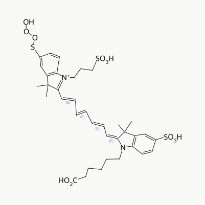 CC1(C)C(/C=C/C=C/C=C/C=C2/N(CCCCCC(=O)O)c3ccc(S(=O)(=O)O)cc3C2(C)C)=[N+](CCCS(=O)(=O)O)c2ccc(SOOO)cc21